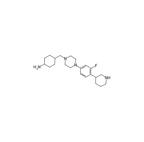 NC1CCC(CN2CCN(c3ccc(C4CCCNC4)c(F)c3)CC2)CC1